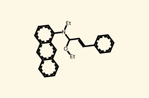 CCOC(C=Cc1ccccc1)N(CC)c1cccc2cc3ccccc3cc12